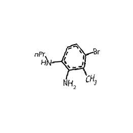 CCCNc1ccc(Br)c(C)c1N